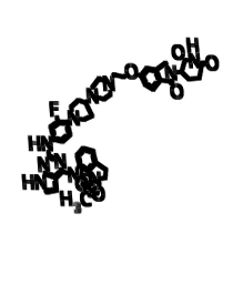 CS(=O)(=O)N1CCc2cccc(Nc3nc(Nc4ccc(N5CCC(N6CCN(CCOc7ccc8c(c7)CN(C7CCC(=O)NC7=O)C8=O)CC6)CC5)c(F)c4)nc4[nH]ccc34)c21